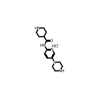 Cl.O=C(Nc1ccc(N2CCNCC2)cn1)C1CCNCC1